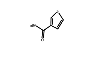 CCCCC(=O)c1ccsc1